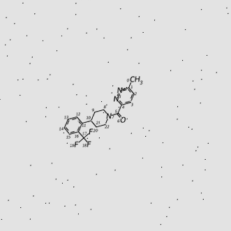 Cc1ccc(C(=O)N2CCC(c3ccccc3C(F)(F)F)CC2)nn1